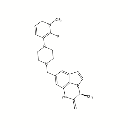 C[C@H]1C(=O)Nc2cc(CN3CCN(C4=C(F)N(C)CC=C4)CC3)cc3ccn1c23